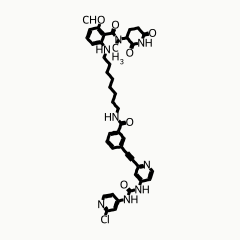 CN(C(=O)c1c(C=O)cccc1NCCCCCCCCNC(=O)c1cccc(C#Cc2cc(NC(=O)Nc3ccnc(Cl)c3)ccn2)c1)C1CCC(=O)NC1=O